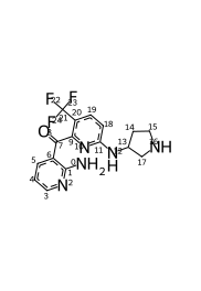 Nc1ncccc1C(=O)c1nc(NC2CCNC2)ccc1C(F)(F)F